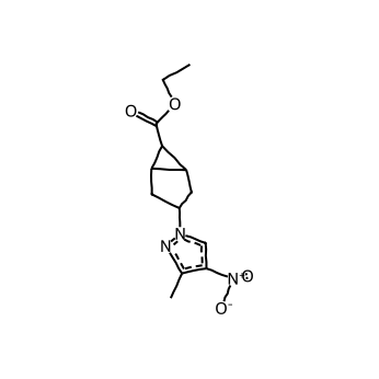 CCOC(=O)C1C2CC(n3cc([N+](=O)[O-])c(C)n3)CC21